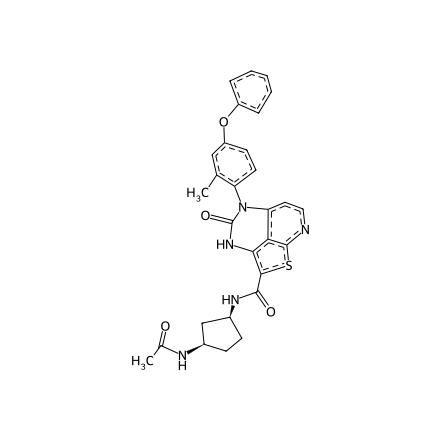 CC(=O)N[C@@H]1CC[C@H](NC(=O)c2sc3nccc4c3c2NC(=O)N4c2ccc(Oc3ccccc3)cc2C)C1